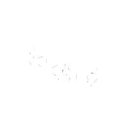 COc1ccnc(CCc2nc3cc(-c4ccc5[nH]ccc5c4)cnc3[nH]2)c1